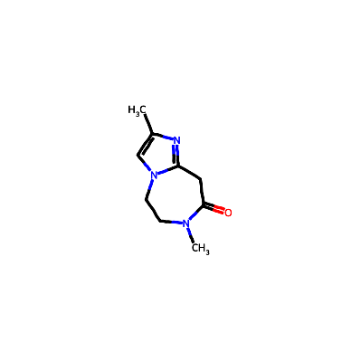 Cc1cn2c(n1)CC(=O)N(C)CC2